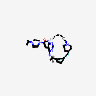 CC(C)N1CCN(c2cc3c4ncnc3n(c2=O)CCCCCCCN2CCC(CC2)C(F)(F)c2cccc(c2F)[C@H](C)N4)CC1